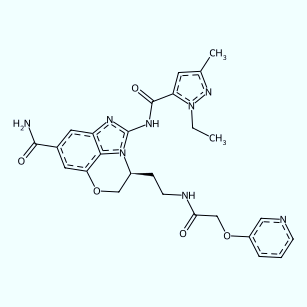 CCn1nc(C)cc1C(=O)Nc1nc2cc(C(N)=O)cc3c2n1[C@@H](CCNC(=O)COc1cccnc1)CO3